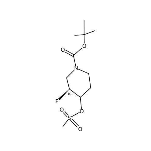 CC(C)(C)OC(=O)N1CCC(OS(C)(=O)=O)[C@@H](F)C1